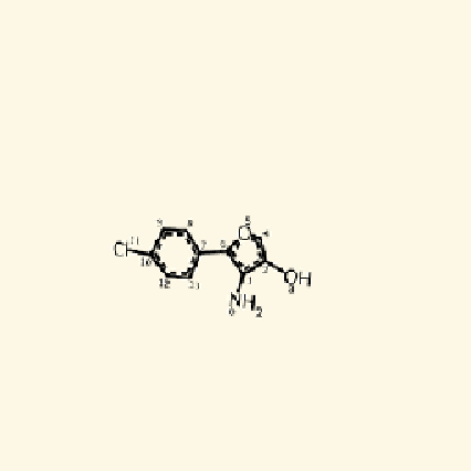 Nc1c(O)coc1-c1ccc(Cl)cc1